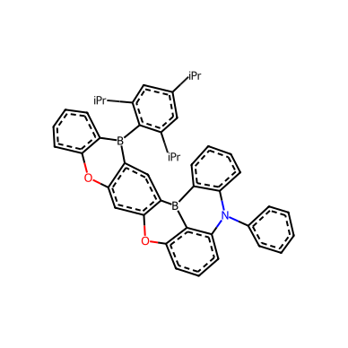 CC(C)c1cc(C(C)C)c(B2c3ccccc3Oc3cc4c(cc32)B2c3ccccc3N(c3ccccc3)c3cccc(c32)O4)c(C(C)C)c1